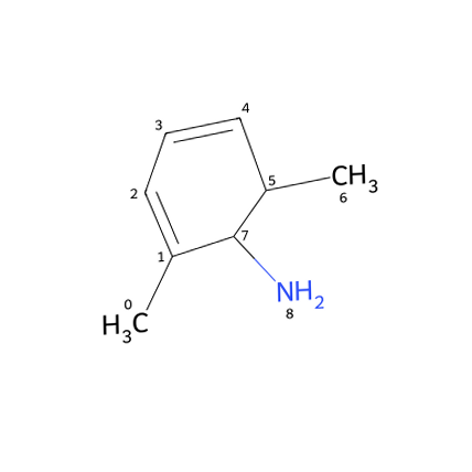 CC1=CC=CC(C)C1N